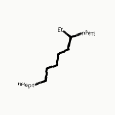 [CH2]CCCCC(CC)CCCCCCCCCCCC